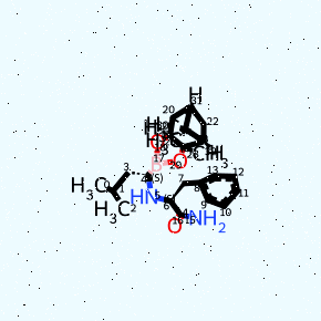 CC(C)C[C@@H](N[C@@H](Cc1ccccc1)C(N)=O)B1O[C@H]2C[C@@H]3C[C@@H](C3(C)C)[C@]2(C)O1